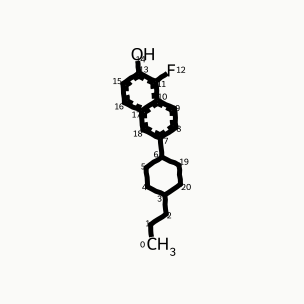 CCCC1CCC(c2ccc3c(F)c(O)ccc3c2)CC1